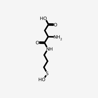 NC(CC(=O)O)C(=O)NCCCSO